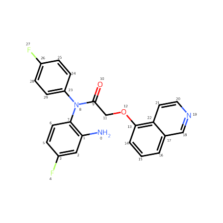 Nc1cc(F)ccc1N(C(=O)COc1cccc2cnccc12)c1ccc(F)cc1